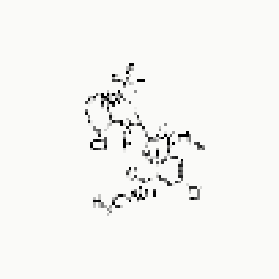 CNC(=O)c1cc(Cl)cc(C)c1NC(=O)/C(=C/C(=N)C(F)(F)F)Nc1ncccc1Cl